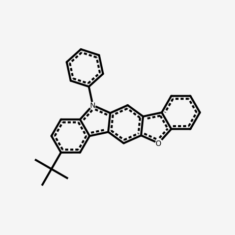 CC(C)(C)c1ccc2c(c1)c1cc3oc4ccccc4c3cc1n2-c1ccccc1